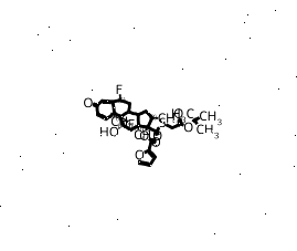 C[C@@H]1CC2C3C[C@H](F)C4=CC(=O)C=C[C@]4(C)[C@@]3(F)[C@@H](O)C[C@]2(C)[C@@]1(OC(=O)c1ccco1)C(=O)SCC(=O)OC(C)(C)C